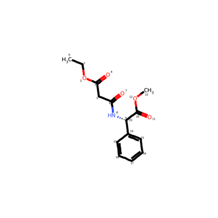 CCOC(=O)CC(=O)N[C@H](C(=O)OC)c1ccccc1